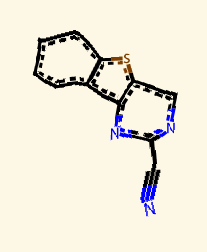 N#Cc1ncc2sc3ccccc3c2n1